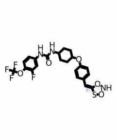 O=C(Nc1ccc(OC(F)(F)F)c(F)c1)NC1CCC(Oc2ccc(/C=C3\ONOS3)cc2)CC1